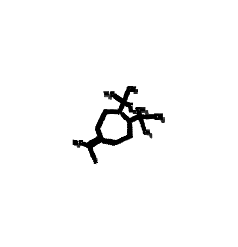 C/C(F)=C1/CCC(C(C)(C)C)N(C(C)(C)C)CC1